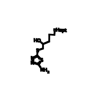 CCCCCCCCCCC(O)CSc1nnc(N)s1